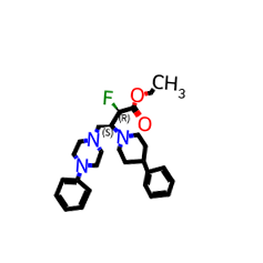 CCOC(=O)[C@H](F)[C@H](CN1CCN(c2ccccc2)CC1)N1CCC(c2ccccc2)CC1